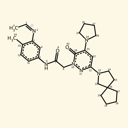 C/C=N\c1cc(NC(=O)Cn2nc(N3CCC4(CCCC4)C3)cc(N3CCCC3)c2=O)ccc1C